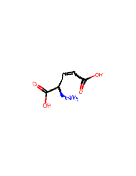 NC(/C=C\C(=O)O)C(=O)O